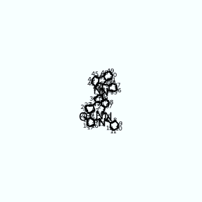 c1ccc(-c2nc(-c3ccccc3)nc(-c3cccc4oc5ccc(-c6ccc7c(c6)nc6n7-c7ccccc7C67c6ccccc6-c6ccccc67)cc5c34)n2)cc1